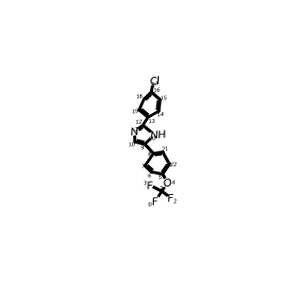 FC(F)(F)Oc1ccc(-c2cnc(-c3ccc(Cl)cc3)[nH]2)cc1